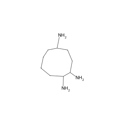 NC1CCCCC(N)C(N)CC1